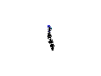 CCCc1ccc([C@H]2CC[C@H](CC[C@H]3CC[C@H](CC/C=C/C=C(\F)C#N)CC3)CC2)cc1